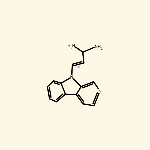 NC(N)/C=C/n1c2ccccc2c2ccncc21